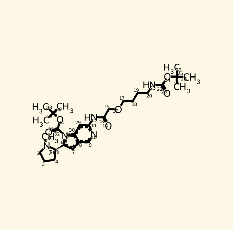 CN1CCC[C@@H]1c1cc2cnc(NC(=O)COCCCCNC(=O)OC(C)(C)C)cc2n1C(=O)OC(C)(C)C